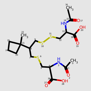 CC(=O)NC(CSCC(CSSCC(NC(C)=O)C(=O)O)C1(C)CCC1)C(=O)O